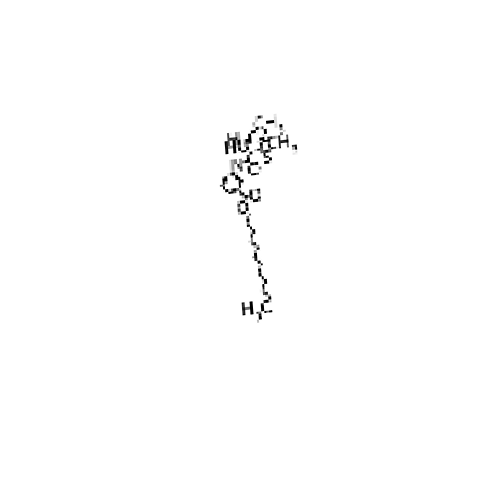 CCCCCCCCCCCCOC(=O)c1cccc(NC(=O)C(O)C(=S)C(C)(C)CC)c1